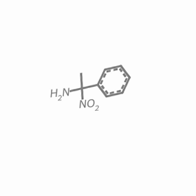 CC(N)(c1ccccc1)[N+](=O)[O-]